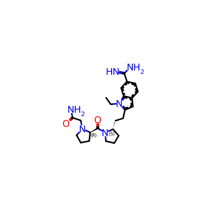 CCn1c(CC[C@@H]2CCCN2C(=O)[C@H]2CCCN2CC(N)=O)cc2ccc(C(=N)N)cc21